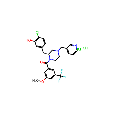 COc1cc(C(=O)N2CCN(Cc3cccnc3)C[C@H]2Cc2ccc(Cl)c(O)c2)cc(C(F)(F)F)c1.Cl.Cl